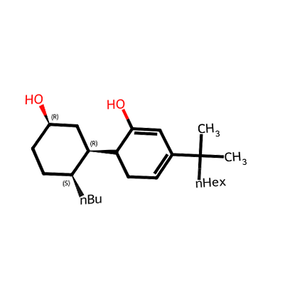 CCCCCCC(C)(C)C1=CCC([C@@H]2C[C@H](O)CC[C@@H]2CCCC)C(O)=C1